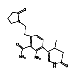 CC1CC(=O)NN=C1c1ccc(CCN2CCCC2=O)c(C(N)=O)c1N